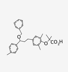 Cc1ccc(C(CCc2cc(C)c(OC(C)(C)C(=O)O)c(C)c2)OCc2ccccc2)cc1